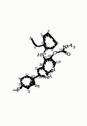 CCc1ccccc1Nc1c(OC(N)=O)cnc2[nH]c(-c3ccc(F)cc3)cc12